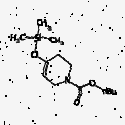 CCCCOC(=O)N1CC=C(O[Si](C)(C)C)CC1